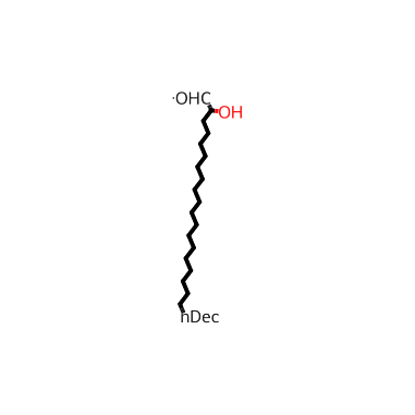 CCCCCCCCCCCCCCCCCCCCCCCCCCCC(O)[C]=O